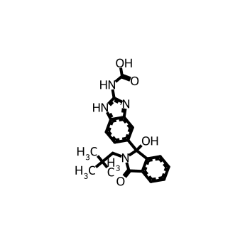 CC(C)(C)CN1C(=O)c2ccccc2C1(O)c1ccc2[nH]c(NC(=O)O)nc2c1